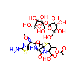 CO/N=C(/C(=O)N[C@@H]1C(=O)N2C(C(=O)O)=C(COC(C)=O)CS[C@H]12)c1csc(N)n1.OC[C@H]1O[C@@](CO)(O[C@H]2O[C@H](CO)[C@@H](O)[C@H](O)[C@H]2O)[C@@H](O)[C@@H]1O